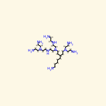 NCCCCCC(CCN(CCN)CCN)CCN(CCNCCN)CCNCCN(CCN)CCN